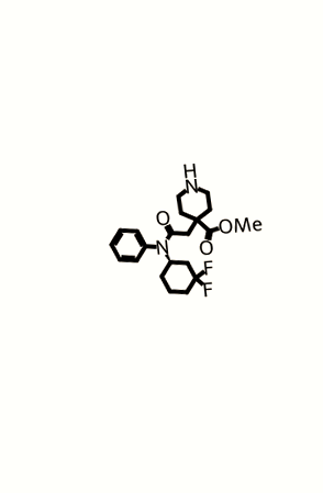 COC(=O)C1(CC(=O)N(c2ccccc2)[C@@H]2CCCC(F)(F)C2)CCNCC1